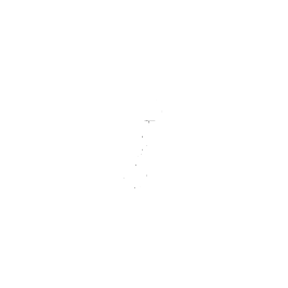 C1CCCCCCC(OCC2COC(COC3CCCCCCCCCCC3)CO2)CCCCC1